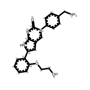 NCc1ccc(-n2cc3cc(-c4ccccc4OCCO)[nH]c3nc2=O)cc1